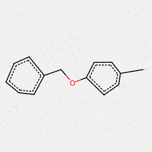 [CH2]c1ccc(OCc2ccccc2)cc1